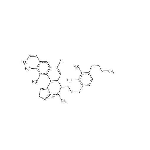 C=C/C=C\c1ccc(/C=C\CC(C(/C=C/CC)=C(\C2=CCC=C2)c2ccc(/C=C\C)c(C)c2C)N(C)C)c(C)c1C